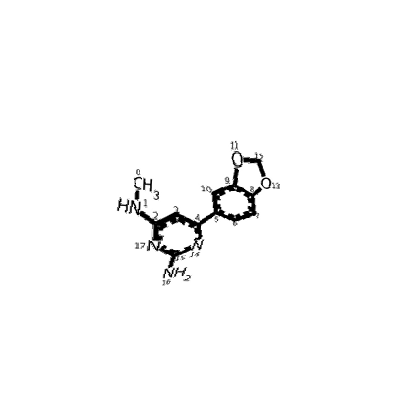 CNc1cc(-c2ccc3c(c2)OCO3)nc(N)n1